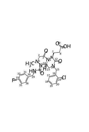 CN1CC(=O)N2[C@@H](CCC(=O)O)C(=O)N(Cc3ccccc3Cl)C[C@@H]2N1C(=O)NCc1ccc(F)cc1